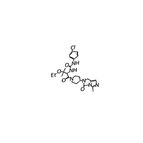 CCOC(C)(C)C(NC(=O)Nc1ccc(Cl)cc1)C(=O)N1CCC(N2Cc3cnc(C)n3C2=O)CC1